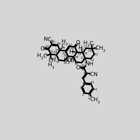 Cc1ccc(/C=C(\C#N)C(=O)N[C@]23CCC(C)(C)C[C@H]2[C@H]2C(=O)C=C4[C@@]5(C)C=C(C#N)C(=O)C(C)(C)[C@@H]5CC[C@@]4(C)[C@]2(C)CC3)cc1